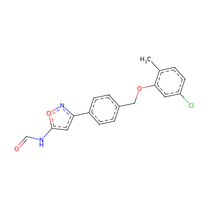 Cc1ccc(Cl)cc1OCc1ccc(-c2cc(NC=O)on2)cc1